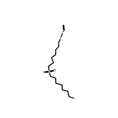 C=CCCCCCCCCCS(=O)(=O)CCCCCCCC